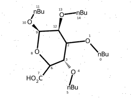 CCCCOC1[C@H](OCCCC)C(C(=O)O)O[C@@H](OCCCC)[C@H]1OCCCC